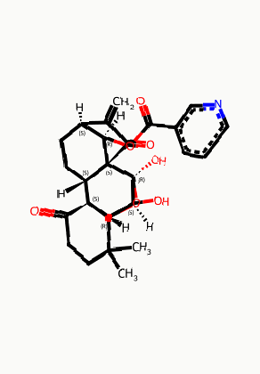 C=C1C(=O)[C@]23[C@H](OC(=O)c4cccnc4)[C@H]1CC[C@H]2[C@@]12CO[C@@]3(O)[C@@H](O)[C@@H]1C(C)(C)CCC2=O